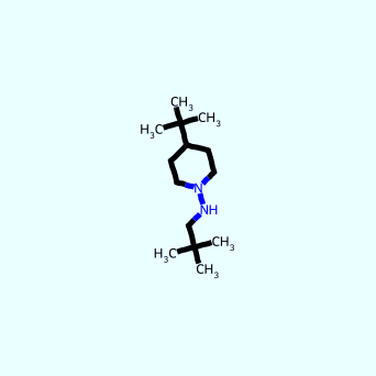 CC(C)(C)CNN1CCC(C(C)(C)C)CC1